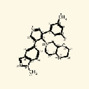 Cc1cc(F)cc(-c2cncc(-c3ccc4c(cnn4C)c3)c2N2CCC3NCCOC3C2)c1